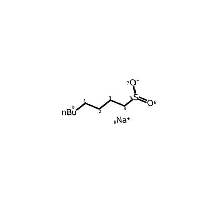 CCCCCCCCS(=O)[O-].[Na+]